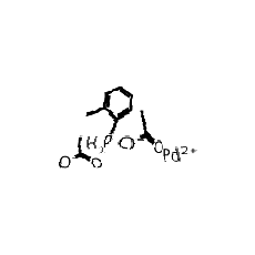 CC(=O)[O-].CC(=O)[O-].Cc1ccccc1P.[Pd+2]